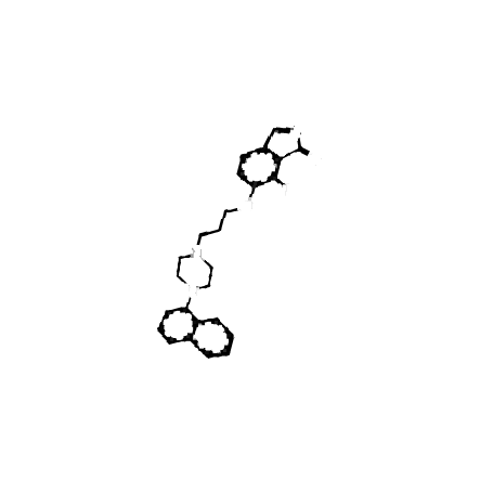 O=C1N=Cc2ccc(OCCCN3CCN(c4cccc5ccccc45)CC3)c(F)c21